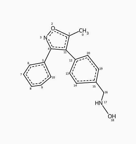 Cc1onc(-c2ccccc2)c1-c1ccc(CNO)cc1